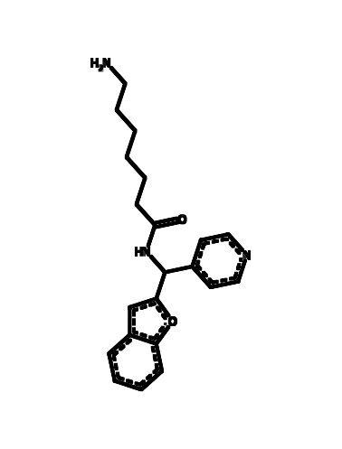 NCCCCCCC(=O)NC(c1ccncc1)c1cc2ccccc2o1